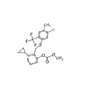 COC(=O)Oc1cccc(C2CC2)c1COc1cc(F)c(C)cc1C(F)(F)F